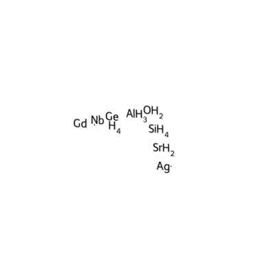 O.[Ag].[AlH3].[Gd].[GeH4].[Nb].[SiH4].[SrH2]